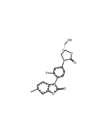 Cc1ccc2c(c1)oc(=O)n2-c1ccc(N2C[C@H](CO)OC2=O)cc1F